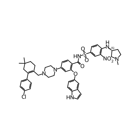 CN1CC[C@H](Nc2ccc(S(=O)(=O)NC(=O)c3ccc(N4CCN(CC5=C(c6ccc(Cl)cc6)CC(C)(C)CC5)CC4)cc3Oc3ccc4[nH]ccc4c3)cc2[N+](=O)[O-])C1